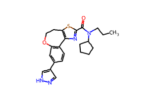 CCCN(C(=O)c1nc2c(s1)CCOc1cc(-c3cn[nH]c3)ccc1-2)C1CCCC1